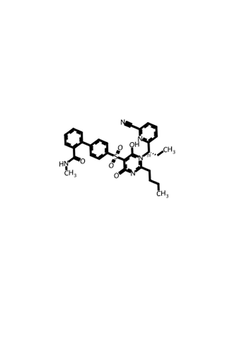 CCCCc1nc(=O)c(S(=O)(=O)c2ccc(-c3ccccc3C(=O)NC)cc2)c(O)n1[C@@H](CC)c1cccc(C#N)n1